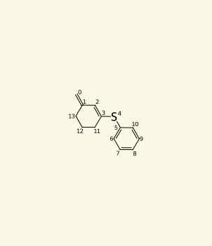 C=C1C=C(Sc2ccccc2)CCC1